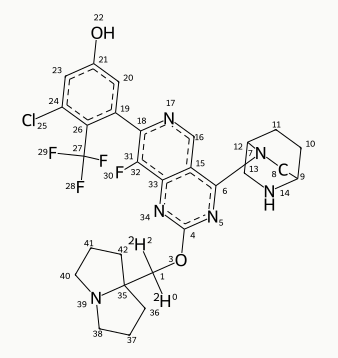 [2H]C([2H])(Oc1nc(N2CC3CCC2CN3)c2cnc(-c3cc(O)cc(Cl)c3C(F)(F)F)c(F)c2n1)C12CCCN1CCC2